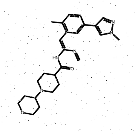 C=N/C(=C\c1cc(-c2cnn(C)c2)ccc1C)NC(=O)C1CCN(C2CCOCC2)CC1